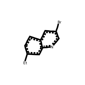 CCc1ccc2cc(Br)cnc2c1